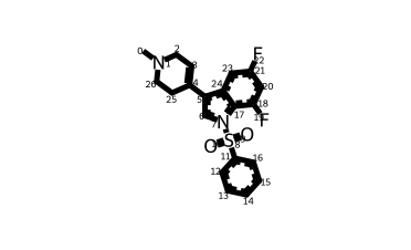 CN1CC=C(c2cn(S(=O)(=O)c3ccccc3)c3c(F)cc(F)cc23)CC1